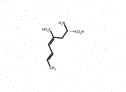 C/C=C/C=C(\C[C@H](N)C(=O)O)C(=O)O